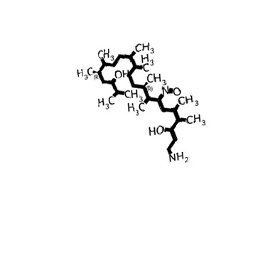 CC(C)C(O)C[C@@H](C)C(C)CCC(C)C(C)CC[C@@H](C)C(C)C(CC(C)C(C)C(O)CCN)N=O